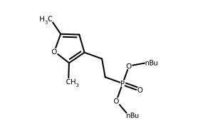 CCCCOP(=O)(CCc1cc(C)oc1C)OCCCC